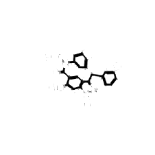 CN(C(=O)c1cc2c(Cc3cccc(Cl)c3)n[nH]c2cc1O)c1ccccc1